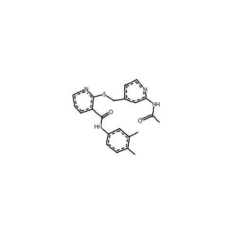 CC(=O)Nc1cc(CSc2ncccc2C(=O)Nc2ccc(C)c(C)c2)ccn1